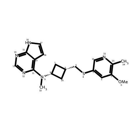 COc1cc(SC[C@H]2C[C@@H](N(C)c3ncnc4[nH]ccc34)C2)cnc1C